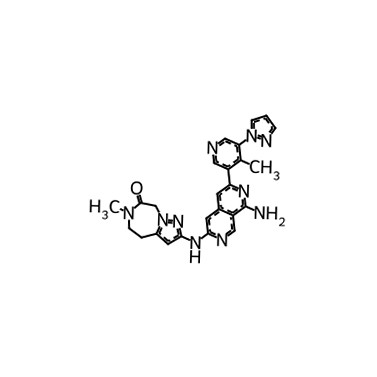 Cc1c(-c2cc3cc(Nc4cc5n(n4)CC(=O)N(C)CC5)ncc3c(N)n2)cncc1-n1cccn1